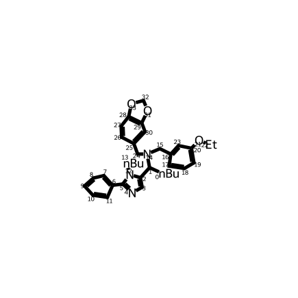 CCCCC(c1cnc(-c2ccccc2)n1CCCC)N(Cc1cccc(OCC)c1)Cc1ccc2c(c1)OCO2